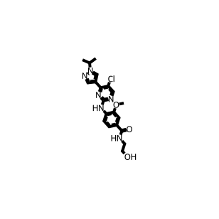 COc1cc(C(=O)NCCO)ccc1Nc1ncc(Cl)c(-c2cnn(C(C)C)c2)n1